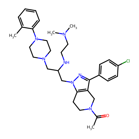 CC(=O)N1CCc2c(c(-c3ccc(Cl)cc3)nn2CC(CN2CCN(c3ccccc3C)CC2)NCCN(C)C)C1